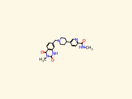 CNC(=O)c1ccc(C2CCN(Cc3ccc4c(=O)n(C)c(=O)[nH]c4c3)CC2)cn1